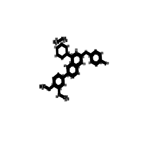 COc1ccc(-c2nnc3nc(Cc4ccc(F)cc4)nc(C4CCCCC4)c3n2)cc1OC.NN